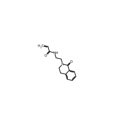 C=CC(=O)NCCN1CCc2ccccc2C1=O